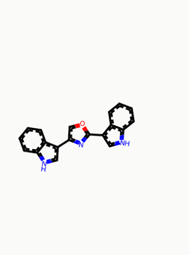 c1ccc2c(-c3coc(-c4c[nH]c5ccccc45)n3)c[nH]c2c1